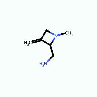 C=C1CN(C)C1CN